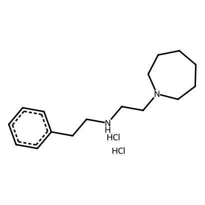 Cl.Cl.c1ccc(CCNCCN2CCCCCC2)cc1